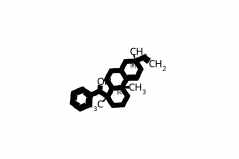 C=C[C@@]1(C)CC=C2C(CCC3[C@](C)(C(O)c4ccccc4)CCC[C@@]23C)C1